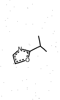 CC(C)c1nc[c]o1